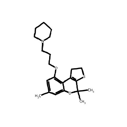 Cc1cc(OCCCN2CCCCC2)c2c(c1)OC(C)(C)C1=C2CCS1